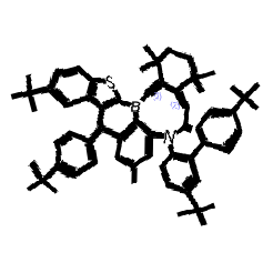 C=C1/C=C2\C(=C/B3c4sc5ccc(C(C)(C)C)cc5c4C(c4ccc(C(C)(C)C)cc4)c4cc(C)cc(c43)N1c1ccc(C(C)(C)C)cc1-c1ccc(C(C)(C)C)cc1)C(C)(C)CCC2(C)C